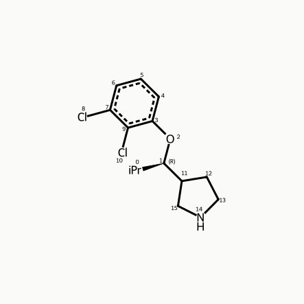 CC(C)[C@@H](Oc1cccc(Cl)c1Cl)C1CCNC1